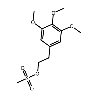 COc1cc(CCOS(C)(=O)=O)cc(OC)c1OC